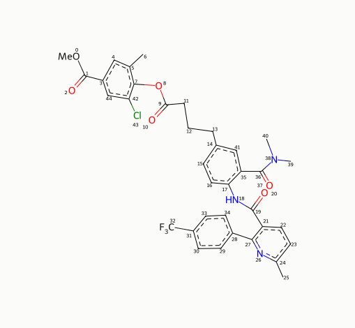 COC(=O)c1cc(C)c(OC(=O)CCCc2ccc(NC(=O)c3ccc(C)nc3-c3ccc(C(F)(F)F)cc3)c(C(=O)N(C)C)c2)c(Cl)c1